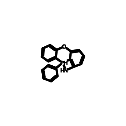 c1ccc([PH]23Nc4cccc(c42)Oc2ccccc23)cc1